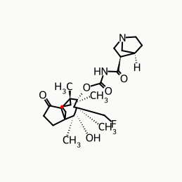 C[C@@H]1CCC23CCC(=O)C2[C@]1(C)[C@H](OC(=O)NC(=O)[C@H]1CN2CC[C@@H]1C2)C[C@@](C)(CF)[C@@H](O)[C@@H]3C